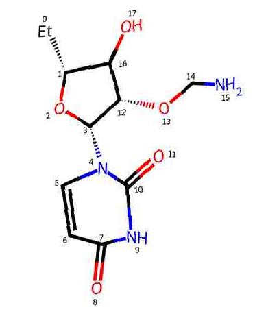 CC[C@H]1O[C@@H](n2ccc(=O)[nH]c2=O)[C@@H](OCN)C1O